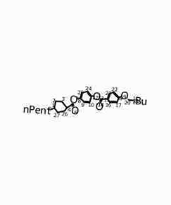 CCCCCC1CCC(C(=O)Oc2ccc(OC(=O)c3ccc(OCC(C)CC)cc3)cc2)CC1